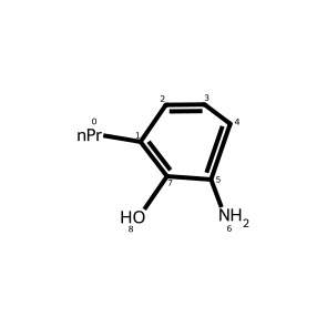 CCCc1cccc(N)c1O